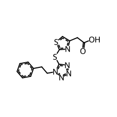 O=C(O)Cc1csc(Sc2nnnn2CCc2ccccc2)n1